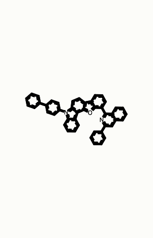 c1ccc(-c2ccc(-n3c4ccccc4c4c5oc6c(-c7nc(-c8ccccc8)cc8ccccc78)cccc6c5ccc43)cc2)cc1